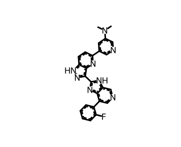 CN(C)c1cncc(-c2ccc3[nH]nc(-c4nc5c(-c6ccccc6F)cncc5[nH]4)c3n2)c1